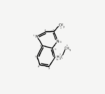 CC.FC(F)(F)c1cnc2ccccc2n1